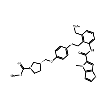 COCc1cccc(NC(=O)c2cc3sccc3n2C)c1COc1ccc(OC[C@@H]2CCN(C(=N)OC(C)(C)C)C2)cc1